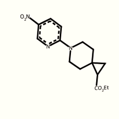 CCOC(=O)C1CC12CCN(c1ccc([N+](=O)[O-])cn1)CC2